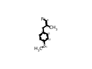 CSc1ccc(C/C(C)=C\F)cc1